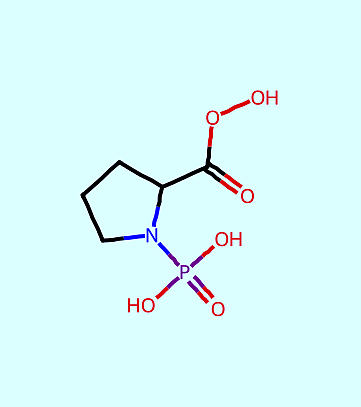 O=C(OO)C1CCCN1P(=O)(O)O